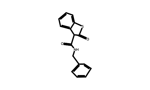 O=C(NCc1ccccc1)C1C(=O)Sc2ccccc21